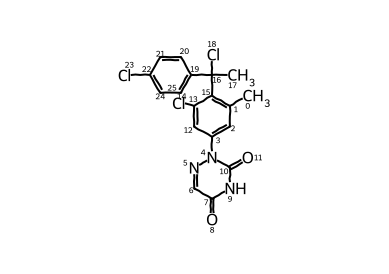 Cc1cc(-n2ncc(=O)[nH]c2=O)cc(Cl)c1C(C)(Cl)c1ccc(Cl)cc1